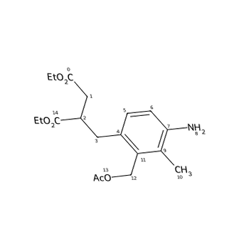 CCOC(=O)CC(Cc1ccc(N)c(C)c1COC(C)=O)C(=O)OCC